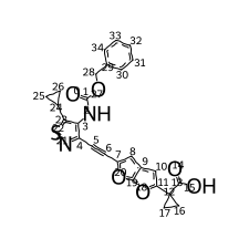 O=C(Nc1c(C#Cc2cc3cc(C4(C(=O)O)CC4)oc3o2)nsc1C1CC1)OCc1ccccc1